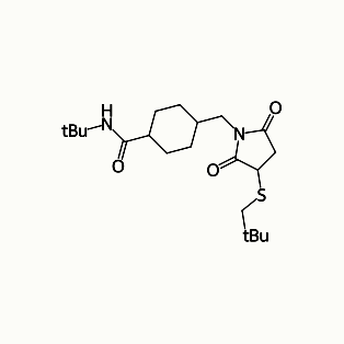 CC(C)(C)CSC1CC(=O)N(CC2CCC(C(=O)NC(C)(C)C)CC2)C1=O